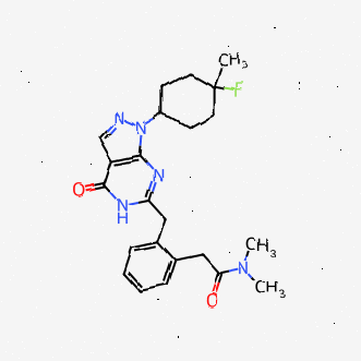 CN(C)C(=O)Cc1ccccc1Cc1nc2c(cnn2C2CCC(C)(F)CC2)c(=O)[nH]1